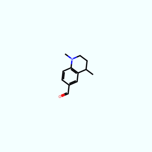 CC1CCN(C)c2ccc(C=O)cc21